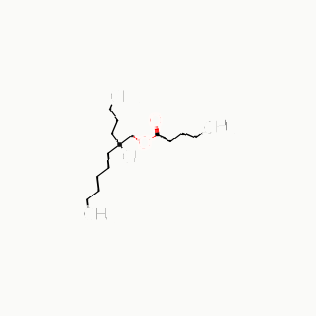 CCCCCCC(C)(CCCC)COC(=O)CCCC